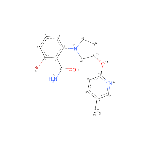 NC(=O)c1c(Br)cccc1N1CC[C@H](Oc2ccc(C(F)(F)F)cn2)C1